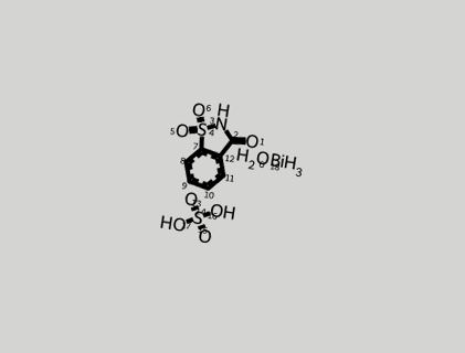 O.O=C1NS(=O)(=O)c2ccccc21.O=S(=O)(O)O.[BiH3]